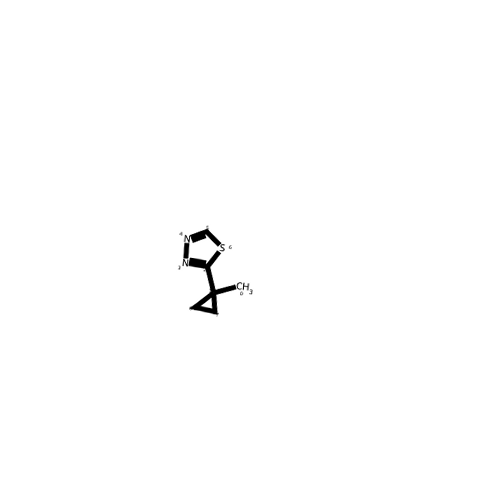 CC1(c2nncs2)CC1